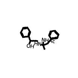 CC(=O)NC(C)(Cc1ccccc1)NCC(O)c1ccccc1